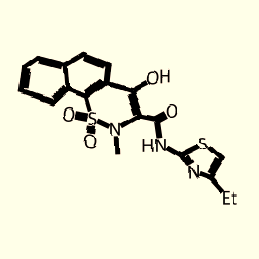 CCc1csc(NC(=O)C2=C(O)c3ccc4ccccc4c3S(=O)(=O)N2C)n1